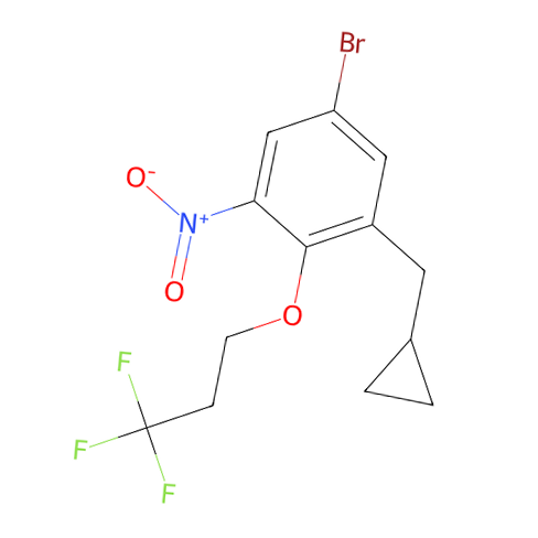 O=[N+]([O-])c1cc(Br)cc(CC2CC2)c1OCCC(F)(F)F